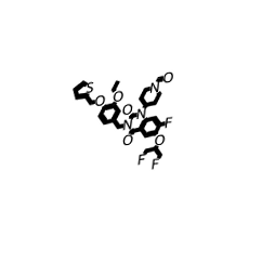 CCOc1cc(Cn2c(=O)c3cc(OC(CF)CF)c(F)cc3n(C3CCN(C=O)CC3)c2=O)ccc1OCc1cccs1